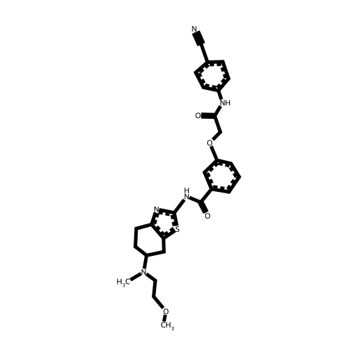 COCCN(C)C1CCc2nc(NC(=O)c3cccc(OCC(=O)Nc4ccc(C#N)cc4)c3)sc2C1